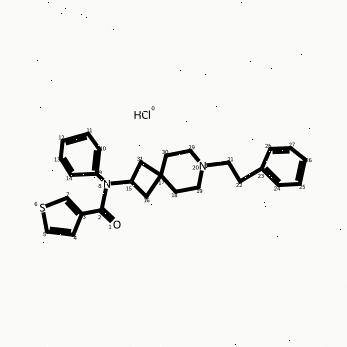 Cl.O=C(c1ccsc1)N(c1ccccc1)C1CC2(CCN(CCc3ccccc3)CC2)C1